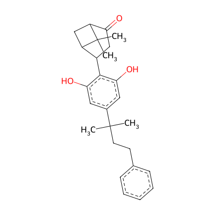 CC(C)(CCc1ccccc1)c1cc(O)c(C2CC(=O)C3CC2C3(C)C)c(O)c1